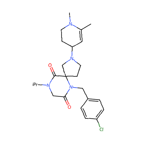 CC1=CC(N2CCC3(C2)C(=O)N(C(C)C)CC(=O)N3Cc2ccc(Cl)cc2)CCN1C